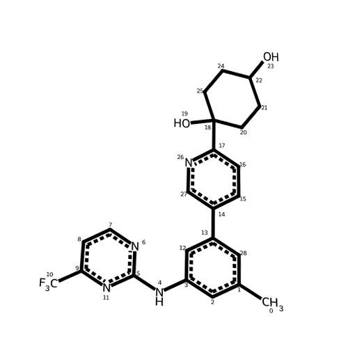 Cc1cc(Nc2nccc(C(F)(F)F)n2)cc(-c2ccc(C3(O)CCC(O)CC3)nc2)c1